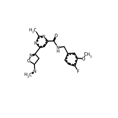 C=NC1CC(c2cc(C(=O)NCc3ccc(F)c(OC)c3)nc(C)n2)=NO1